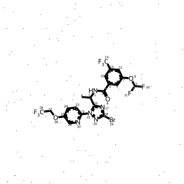 CC(NC(=O)c1cc(OC(F)F)cc(C(F)(F)F)c1)c1nc(Br)nn1-c1ccc(OCC(F)(F)F)cn1